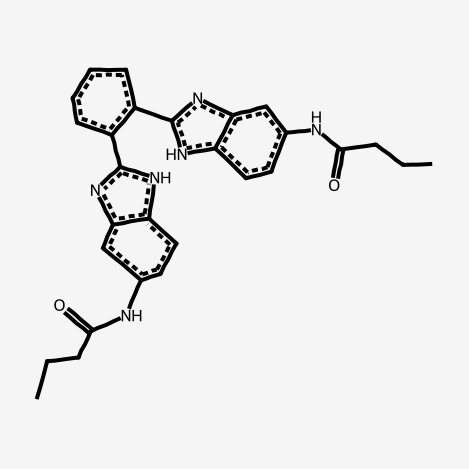 CCCC(=O)Nc1ccc2[nH]c(-c3ccccc3-c3nc4cc(NC(=O)CCC)ccc4[nH]3)nc2c1